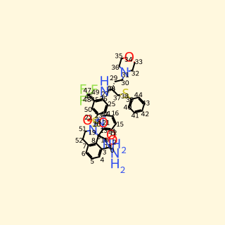 NC(=O)c1cccc2c1C(C(N)=O)(c1ccccn1)N(S(=O)(=O)c1ccc(N[C@H](CCN3CCOCC3)CSc3ccccc3)c(C(F)(F)F)c1)CC2